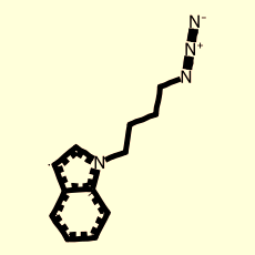 [N-]=[N+]=NCCCCn1c[c]c2ccccc21